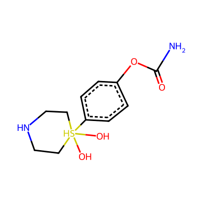 NC(=O)Oc1ccc([SH]2(O)(O)CCNCC2)cc1